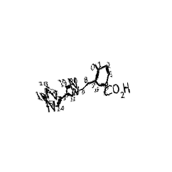 Cc1ccc(C(=O)O)cc1CCn1cc(-c2cncn2C)cn1